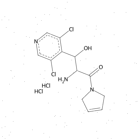 Cl.Cl.NC(C(=O)N1CC=CC1)C(O)c1c(Cl)cncc1Cl